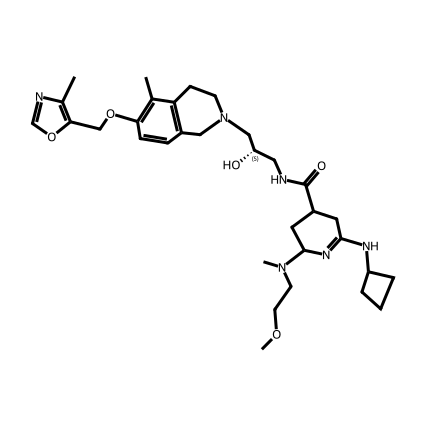 COCCN(C)C1CC(C(=O)NC[C@H](O)CN2CCc3c(ccc(OCc4ocnc4C)c3C)C2)CC(NC2CCC2)=N1